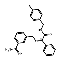 Cc1ccc(CNC(=O)[C@H](OCc2cccc(C(=N)N)c2)c2ccccc2)cc1